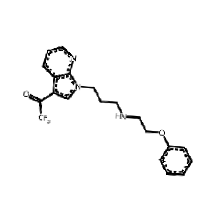 O=C(c1cn(CCCNCCOc2ccccc2)c2ncccc12)C(F)(F)F